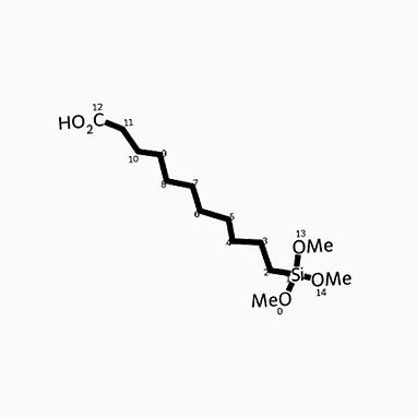 CO[Si](CCCCCCCCCCC(=O)O)(OC)OC